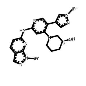 CC(C)n1cc(-c2cnc(Nc3ccc4cnn(C(C)C)c4n3)cc2N2CCC[C@H](O)C2)cn1